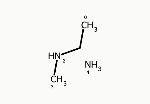 CCNC.N